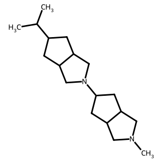 CC(C)C1CC2CN(C3CC4CN(C)CC4C3)CC2C1